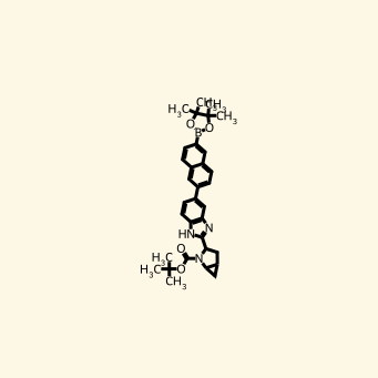 CC(C)(C)OC(=O)N1C(c2nc3cc(-c4ccc5cc(B6OC(C)(C)C(C)(C)O6)ccc5c4)ccc3[nH]2)CC2CC21